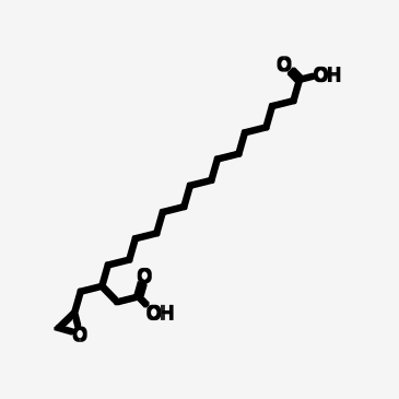 O=C(O)CCCCCCCCCCCCCCC(CC(=O)O)CC1CO1